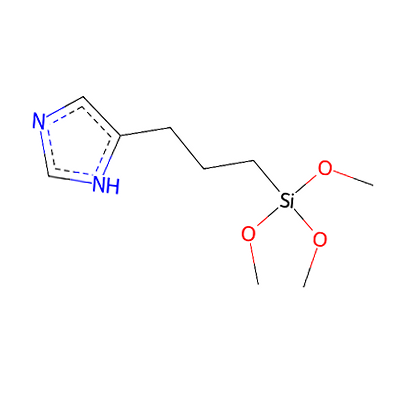 CO[Si](CCCc1cnc[nH]1)(OC)OC